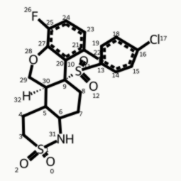 O=S1(=O)CCC2C(CC[C@]3(S(=O)(=O)c4ccc(Cl)cc4)c4c(F)ccc(F)c4OC[C@H]23)N1